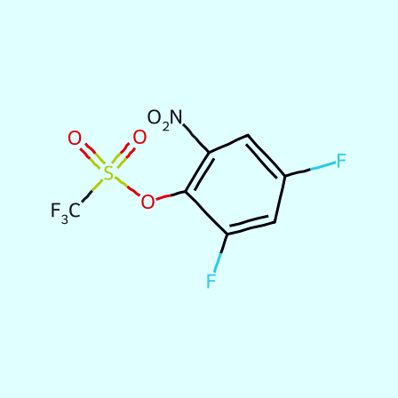 O=[N+]([O-])c1cc(F)cc(F)c1OS(=O)(=O)C(F)(F)F